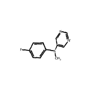 CN(c1ccc(F)cc1)c1cncnc1